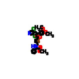 COC(=O)C(NCc1ccc(C(=O)O[C@@H](Cc2c(Cl)cncc2Cl)c2ccc(OC)c(OC)c2)s1)c1ccccc1